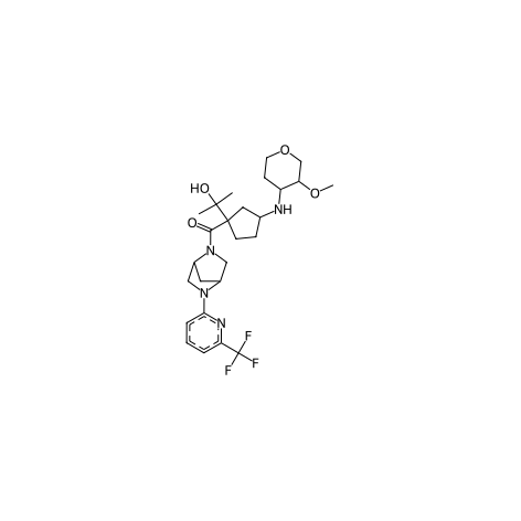 COC1COCCC1NC1CCC(C(=O)N2CC3CC2CN3c2cccc(C(F)(F)F)n2)(C(C)(C)O)C1